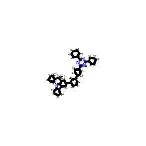 CCC1(CC)c2ccccc2-n2c3ccccc3c3cc(-c4cccc(-c5ccc(-c6nc(-c7ccccc7)nc(-c7ccccc7)n6)cc5)c4)cc1c32